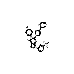 CS(=O)(=O)c1cccc(-n2ncc3c(=O)n(-c4ccc(Cl)cc4)c(-c4ccc(-c5cnccn5)cc4)nc32)c1